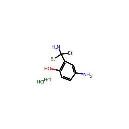 CCC(N)(CC)c1cc(N)ccc1O.Cl.Cl